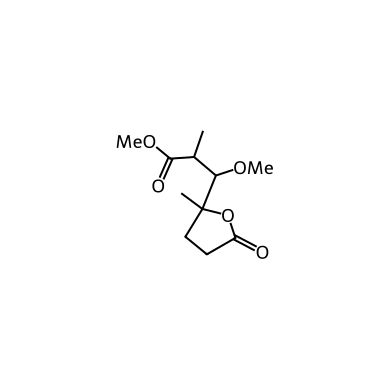 COC(=O)C(C)C(OC)C1(C)CCC(=O)O1